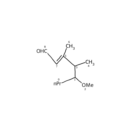 CCCC(OC)C(C)C(C)=CC=O